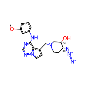 COc1cccc(Nc2ncnn3ccc(CN4CC[C@@H](N=[N+]=[N-])[C@@H](O)C4)c23)c1